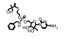 C=C(SCCOP(=O)(NCc1ccccc1)OCC1OC(n2ccc(N)nc2=O)C(C)(O)C1O)C(C)(C)CO